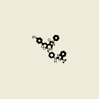 CC1=NN(c2ccccc2)C(=O)C1C(CC(=O)c1ccc(C(C)C)cc1)C(=O)NC[C@H]1CC[C@@H](Nc2nc(N(C)C)c3ccccc3n2)CC1